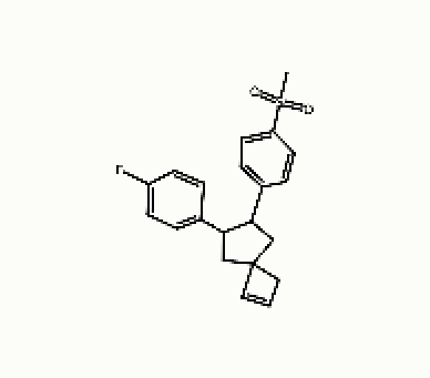 CS(=O)(=O)c1ccc(C2CC3(C=CC3)CC2c2ccc(F)cc2)cc1